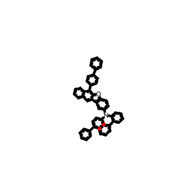 c1ccc(-c2ccc(-c3c4ccccc4cc4c3oc3ccc(N(c5ccc(-c6ccccc6)cc5)c5ccccc5-c5ccccc5)cc34)cc2)cc1